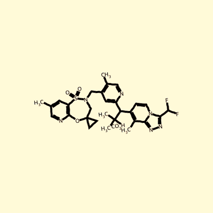 Cc1cnc2c(c1)S(=O)(=O)N(Cc1cc(C(c3ccn4c(C(F)F)nnc4c3C)C(C)(C)C(=O)O)ncc1C)CC1(CC1)O2